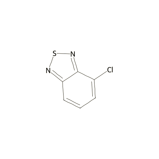 Clc1cccc2nsnc12